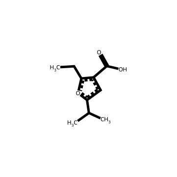 CCc1oc(C(C)C)cc1C(=O)O